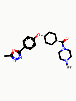 Cc1nnc(-c2ccc(O[C@H]3CC[C@H](C(=O)N4CCN(C(C)C)CC4)CC3)cc2)o1